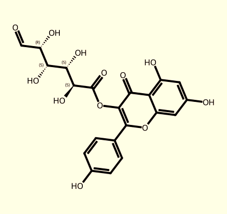 O=C[C@H](O)[C@@H](O)[C@H](O)[C@H](O)C(=O)Oc1c(-c2ccc(O)cc2)oc2cc(O)cc(O)c2c1=O